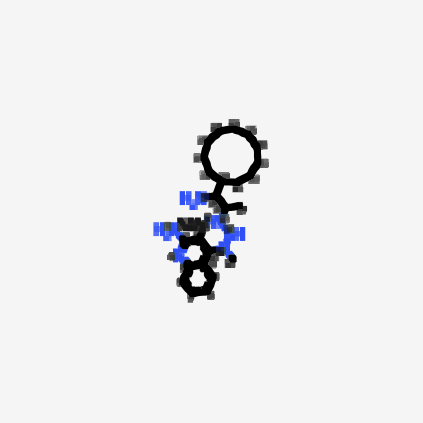 CNc1c(N)nc2ccccc2c1N(C)NNC(C)C(N)C1CCCCCCCCCC1